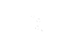 CCOC(=O)Cc1cccc(Oc2ccccc2CN(C)C)c1